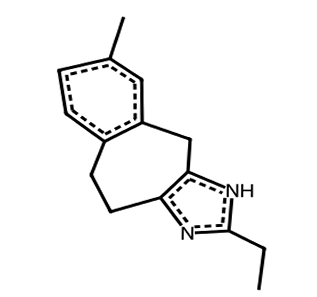 CCc1nc2c([nH]1)Cc1cc(C)ccc1CC2